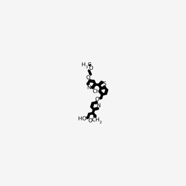 C=CC(CC(=O)O)c1ccc(OCc2ccc3scc(-c4cc(OCCOC)cnc4C)c3c2)nc1